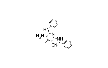 Cc1c(N)c(Nc2ccccc2)nc(NC(C)c2ccccc2)c1C#N